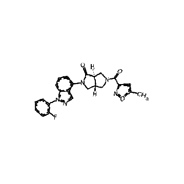 Cc1cc(C(=O)N2C[C@@H]3CN(c4cccc5c4cnn5-c4ccccc4F)C(=O)[C@H]3C2)no1